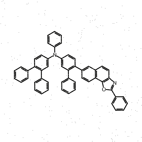 c1ccc(-c2nc3ccc4cc(-c5ccc(N(c6ccccc6)c6ccc(-c7ccccc7)c(-c7ccccc7)c6)cc5-c5ccccc5)ccc4c3o2)cc1